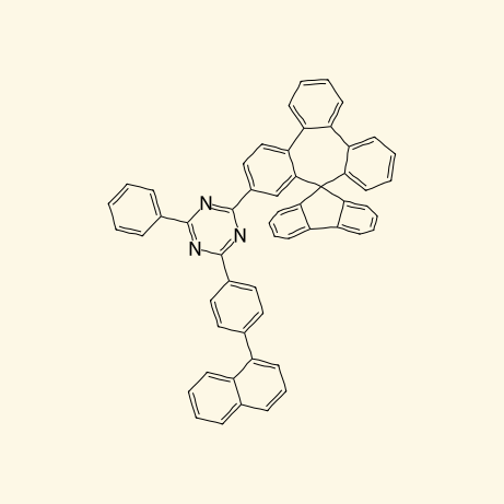 c1ccc(-c2nc(-c3ccc(-c4cccc5ccccc45)cc3)nc(-c3ccc4c(c3)C3(c5ccccc5-c5ccccc5-4)c4ccccc4-c4ccccc43)n2)cc1